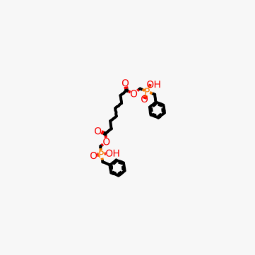 O=C(CCCCCCC(=O)OCP(=O)(O)Cc1ccccc1)OCP(=O)(O)Cc1ccccc1